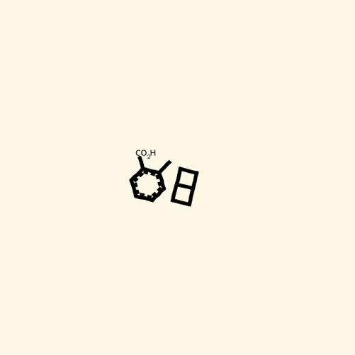 C1CC2CCC12.Cc1ccccc1C(=O)O